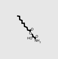 CCCCCCCCCC(=O)OCC(O)C(N)=O